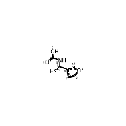 O=C(O)NC(S)c1ccon1